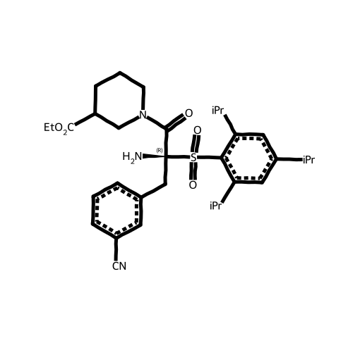 CCOC(=O)C1CCCN(C(=O)[C@@](N)(Cc2cccc(C#N)c2)S(=O)(=O)c2c(C(C)C)cc(C(C)C)cc2C(C)C)C1